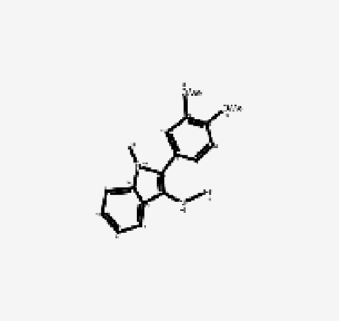 CCNc1c(-c2ccc(OC)c(OC)c2)n(C)c2ccccc12